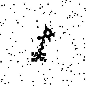 O=C(OCCOC(=O)C(O)(C(F)(F)F)C(F)(F)F)c1cc(I)cc(I)c1I